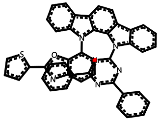 c1ccc(-c2nc(-c3ccccc3)nc(-n3c4ccccc4c4ccc5c6ccccc6n(-c6cccc7nc(-c8cccs8)oc67)c5c43)n2)cc1